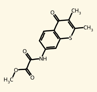 COC(=O)C(=O)Nc1ccc2c(=O)c(C)c(C)sc2c1